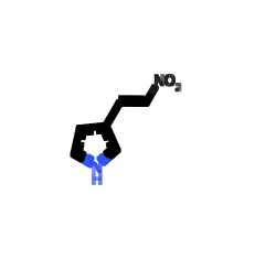 O=[N+]([O-])C=Cc1cc[nH]c1